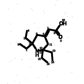 CCC1(CC)CC(=CC(=O)O)CC(CC)(CC)N1